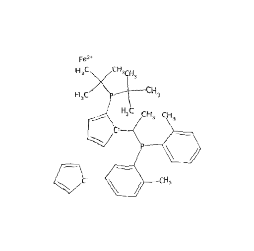 Cc1ccccc1P(c1ccccc1C)C(C)[c-]1cccc1P(C(C)(C)C)C(C)(C)C.[Fe+2].c1cc[cH-]c1